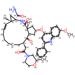 COc1ccc2c(O[C@H]3CC4C(=O)[C@@H](CC(=O)N5CCOC(C)C5)CCCCC/C=C\[C@@H]5C[C@@]5(C(N)=O)NC(=O)[C@@H]4C3)cc(-c3ccccc3)nc2c1